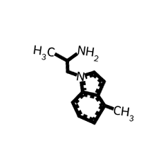 Cc1cccc2c1ccn2CC(C)N